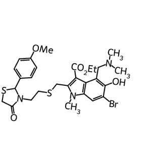 CCOC(=O)c1c(CSCCN2C(=O)CSC2c2ccc(OC)cc2)n(C)c2cc(Br)c(O)c(CN(C)C)c12